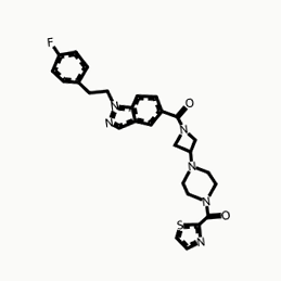 O=C(c1ccc2c(cnn2CCc2ccc(F)cc2)c1)N1CC(N2CCN(C(=O)c3nccs3)CC2)C1